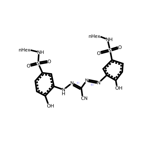 CCCCCCNS(=O)(=O)c1ccc(O)c(/N=N/C(C#N)=N/Nc2cc(S(=O)(=O)NCCCCCC)ccc2O)c1